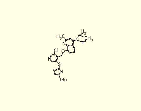 C=CN(/C=C\C)c1cc(C)nc2c(OCc3c(Cl)cncc3Sc3nc(C(C)(C)C)cs3)cccc12